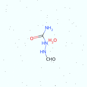 NC(=O)NNC=O.O